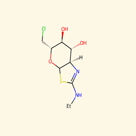 CCNC1=N[C@H]2C(O[C@H](CCl)[C@@H](O)[C@@H]2O)S1